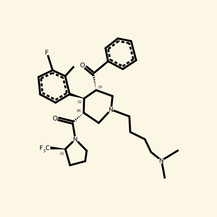 Cc1c(F)cccc1[C@@H]1[C@@H](C(=O)N2CCC[C@H]2C(F)(F)F)CN(CCCCN(C)C)C[C@H]1C(=O)c1ccccc1